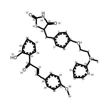 CN(CCOc1ccc(CC2SC(=O)NC2=O)cc1)c1ccccn1.COc1ccc(/C=C/C(=O)c2ccccc2O)cc1